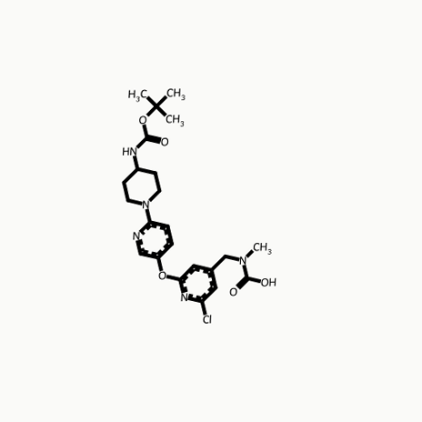 CN(Cc1cc(Cl)nc(Oc2ccc(N3CCC(NC(=O)OC(C)(C)C)CC3)nc2)c1)C(=O)O